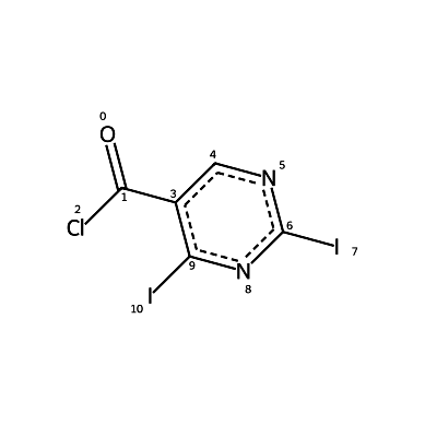 O=C(Cl)c1cnc(I)nc1I